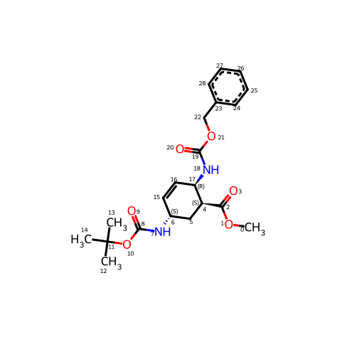 COC(=O)[C@H]1C[C@H](NC(=O)OC(C)(C)C)C=C[C@H]1NC(=O)OCc1ccccc1